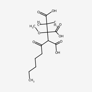 CCCCCC(=O)C(C(=O)O)C(OC)(C(=O)O)C(C)(C)C(=O)O